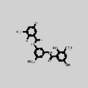 O=C(O)c1cc(NC(=O)c2cc(O)cc(C(=O)O)c2O)cc(NC(=O)c2cc(O)cc(C(=O)O)c2O)c1